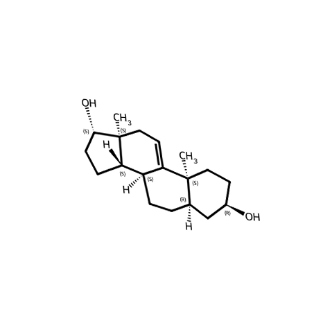 C[C@]12CC=C3[C@@H](CC[C@@H]4C[C@H](O)CC[C@]34C)[C@@H]1CC[C@@H]2O